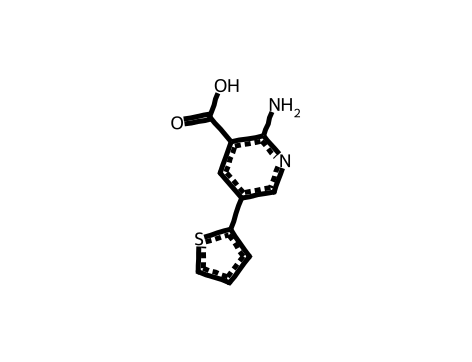 Nc1ncc(-c2cccs2)cc1C(=O)O